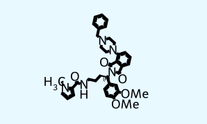 COc1ccc([C@@H](CCCNC(=O)c2cccn2C)N2C(=O)c3cccc(N4CCN(Cc5ccccc5)CC4)c3C2=O)cc1OC